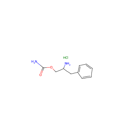 Cl.NC(=O)OCC(N)Cc1ccccc1